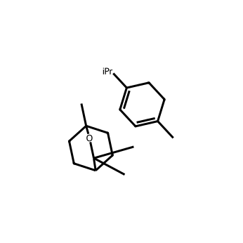 CC12CCC(CC1)C(C)(C)O2.CC1=CC=C(C(C)C)CC1